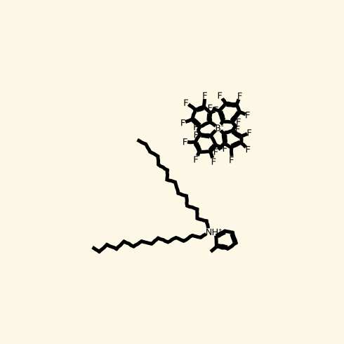 CCCCCCCCCCCCCC[NH+](CCCCCCCCCCCCCC)c1ccccc1C.Fc1c(F)c(F)c([B-](c2c(F)c(F)c(F)c(F)c2F)(c2c(F)c(F)c(F)c(F)c2F)c2c(F)c(F)c(F)c(F)c2F)c(F)c1F